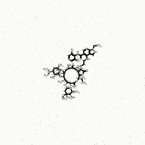 CC[C@H]1OC(=O)[C@H](C)[C@@H](O[C@H]2C[C@@](C)(OC)[C@@H](O)[C@H](C)O2)[C@H](C)[C@@H](O[C@@H]2O[C@H](C)C[C@H](N(C)C)[C@H]2O)[C@](C)(OC)C[C@@H](C)C(=O)[C@H](C)[C@H]2[C@H](SCCNc3c(C(=O)Nc4c(Cl)cncc4Cl)cnc4c3cnn4CC)C(=O)O[C@@]21C